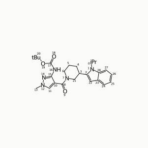 CC(C)n1c(C2CCCN(C(=O)c3cn(C)nc3NC(=O)OC(C)(C)C)C2)cc2ccccc21